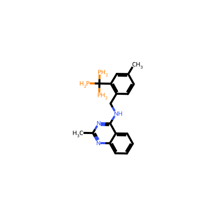 Cc1ccc(CNc2nc(C)nc3ccccc23)c(C(P)(P)P)c1